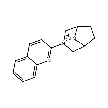 CN1C2CCC1CN(c1ccc3ccccc3n1)C2